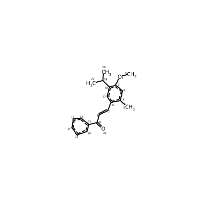 COc1cc(C)c(C=CC(=O)c2ccccc2)cc1C(C)C